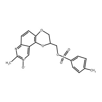 Cc1ccc(S(=O)(=O)OCC2COc3ccc4nc(C)[n+]([O-])cc4c3O2)cc1